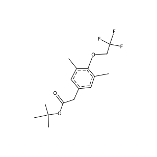 Cc1cc(CC(=O)OC(C)(C)C)cc(C)c1OCC(F)(F)F